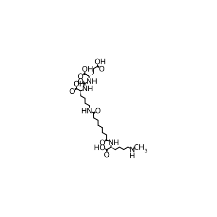 CNCCCC[C@H](NC(=O)CCCCCCC(=O)NCCCC[C@H](NC(=O)N[C@@H](CCC(=O)O)C(=O)O)C(=O)O)C(=O)O